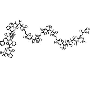 CC[C@@](C)(NC(=O)[C@H](C)NC(=O)CCNC(=O)C(C)(C)NC(=O)[C@H](C)NC(=O)[C@@H]1CCCN1C(=O)[C@@](C)(CC)NC(=O)[C@H](Cc1ccccc1)NC(=O)C1CCCN1C(=O)C(C)(C)NC(=O)C1CCCN1C(=O)C(C)(C)NC(C)=O)C(=O)NCCC(=O)N[C@@H](CC(C)C)C(=O)NC(C)(C)C(=O)NCCC(=O)N[C@@H](CC(C)C)C(=O)NC(C)(C)C(=O)NC(C)(C)C(=O)N[C@@H](CC(C)C)C(=O)NCCC(=O)NCO